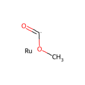 CO[C]=O.[Ru]